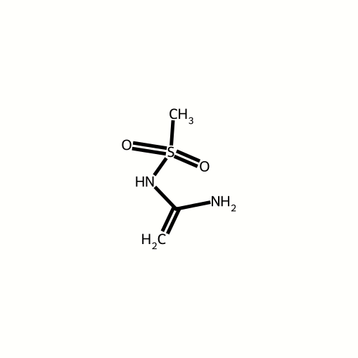 C=C(N)NS(C)(=O)=O